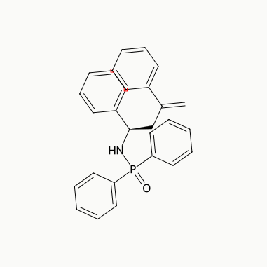 C=C(C[C@@H](NP(=O)(c1ccccc1)c1ccccc1)c1ccccc1)c1ccccc1